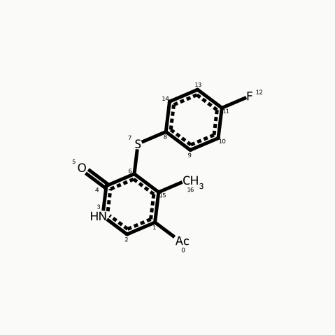 CC(=O)c1c[nH]c(=O)c(Sc2ccc(F)cc2)c1C